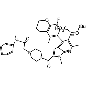 Cc1nc2c(cc(C(=O)N3CCN(CC(=O)N(C)c4ccccc4)CC3)n2C)c(-c2cc(F)c3c(c2C)CCCO3)c1[C@H](OC(C)(C)C)C(=O)O